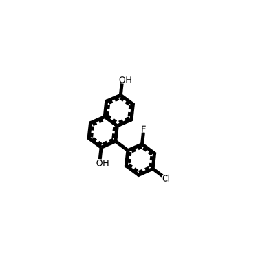 Oc1ccc2c(-c3ccc(Cl)cc3F)c(O)ccc2c1